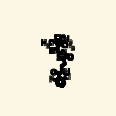 CC1(C)C(NC2=NC(=O)C(CCNC(=O)c3c(F)cccc3Cl)S2)C1(C)C